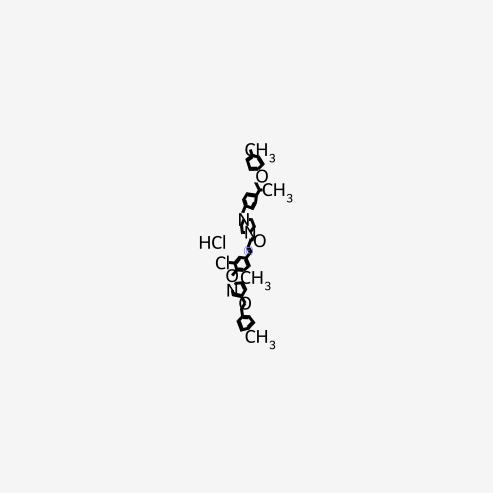 Cc1ccc(COc2ccc(Oc3c(C)cc(/C=C/C(=O)N4CCN(Cc5ccc(C(C)COc6ccc(C)cc6)cc5)CC4)cc3Cl)nc2)cc1.Cl